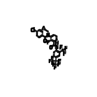 O=C(Nc1ccc(C(F)(C(F)(F)F)C(F)(F)F)cc1C(F)(F)F)c1cccc(N(CC2CC2)C(=O)c2ccc(Cl)cc2)c1F